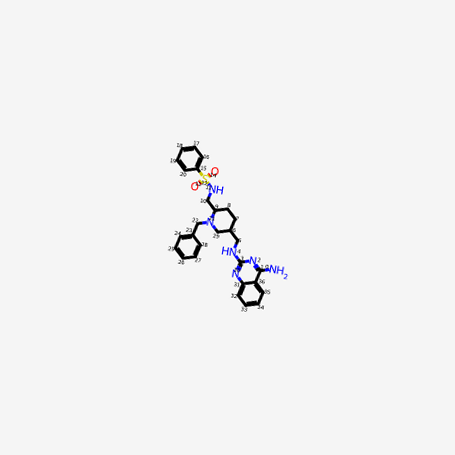 Nc1nc(NCC2CCC(CNS(=O)(=O)c3ccccc3)N(Cc3ccccc3)C2)nc2ccccc12